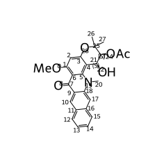 COc1cc2c(c3c1c(=O)c1cc4ccccc4cc1n3C)[C@H](O)[C@H](OC(C)=O)C(C)(C)O2